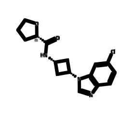 O=C(N[C@H]1C[C@@H](n2cnc3ccc(Cl)cc32)C1)[C@@H]1CCCO1